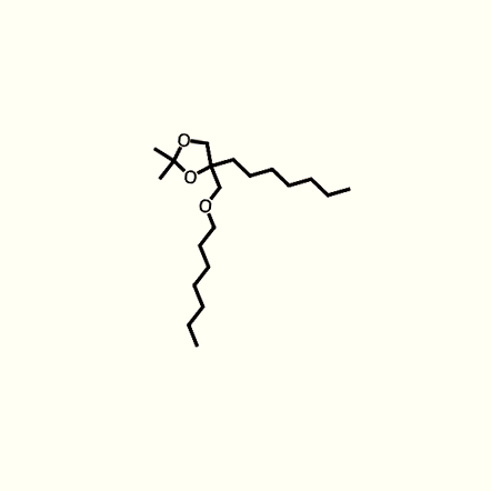 CCCCCCCOCC1(CCCCCCC)COC(C)(C)O1